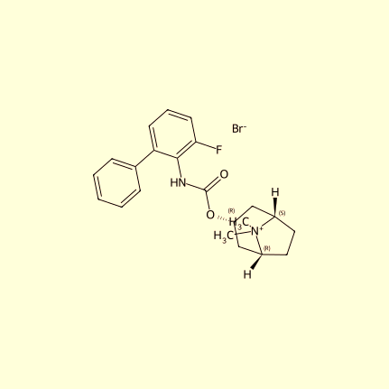 C[N+]1(C)[C@@H]2CC[C@H]1C[C@@H](OC(=O)Nc1c(F)cccc1-c1ccccc1)C2.[Br-]